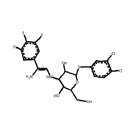 N/C(=C\NC1C(O)C(CO)OC(Sc2ccc(Cl)c(Cl)c2)C1O)c1cc(F)c(F)c(F)c1